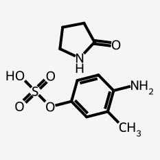 Cc1cc(OS(=O)(=O)O)ccc1N.O=C1CCCN1